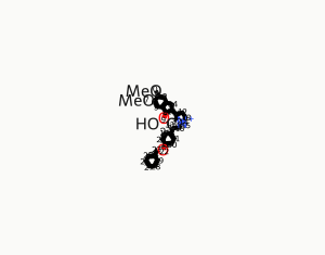 COc1cc2c(cc1OC)C(=O)C(C1CC[N+](C)(CCc3ccc(OCc4ccccc4)cc3)[C@@H]1C(=O)O)C2